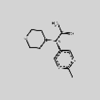 Cc1ncc([C@H](C(N)=O)N2CCOCC2)cn1